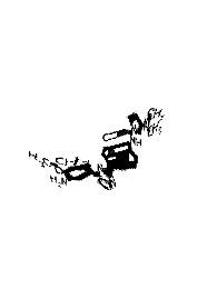 CC(C)Oc1ccc(-c2nc(-c3cccc4c3CC[C@@H]4NC(=O)N3CC[C@@H](N(C)C)C3)no2)cc1N